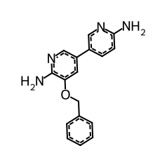 Nc1ccc(-c2cnc(N)c(OCc3ccccc3)c2)cn1